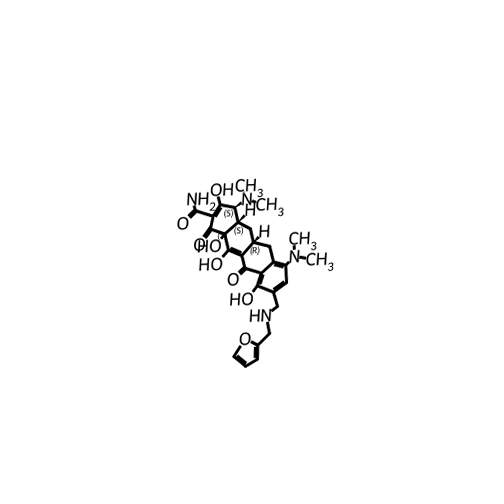 CN(C)c1cc(CNCc2ccco2)c(O)c2c1C[C@H]1C[C@H]3[C@H](N(C)C)C(O)=C(C(N)=O)C(=O)[C@@]3(O)C(O)=C1C2=O